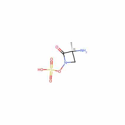 C[C@]1(N)CN(OS(=O)(=O)O)C1=O